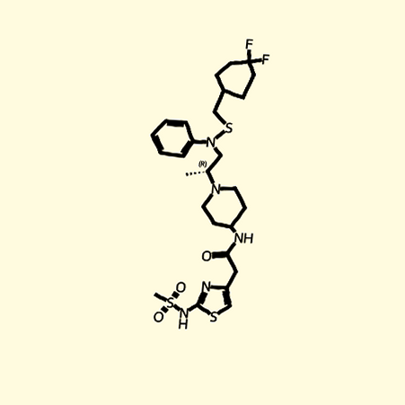 C[C@H](CN(SCC1CCC(F)(F)CC1)c1ccccc1)N1CCC(NC(=O)Cc2csc(NS(C)(=O)=O)n2)CC1